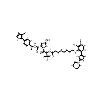 Cc1ncsc1-c1ccc(C(C)NC(=O)[C@@H]2C[C@@H](O)CN2C(=O)C(NC(=O)CCCCCCCOc2c(-c3csc(N4CCOCC4)n3)ccc(F)c2F)C(C)(C)C)cc1